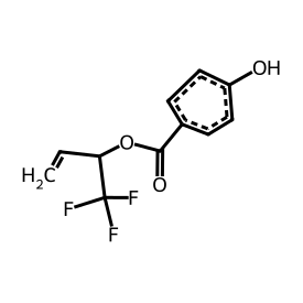 C=CC(OC(=O)c1ccc(O)cc1)C(F)(F)F